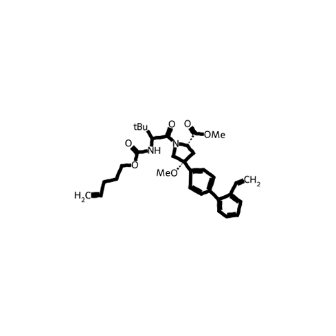 C=CCCCOC(=O)NC(C(=O)N1C[C@](OC)(c2ccc(-c3ccccc3C=C)cc2)C[C@H]1C(=O)OC)C(C)(C)C